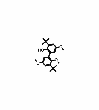 COc1cc(-c2cc(OC)cc(C(C)(C)C)c2OC)c(O)c(C(C)(C)C)c1